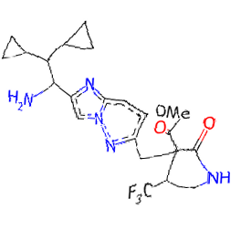 COC(=O)C1(Cc2ccc3nc(C(N)C(C4CC4)C4CC4)cn3n2)C(=O)NCC1C(F)(F)F